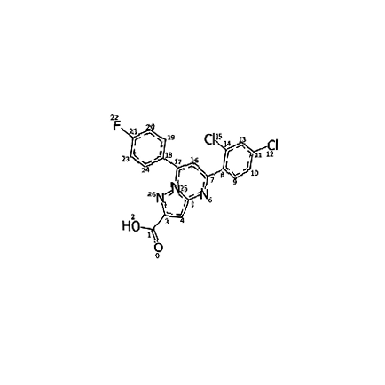 O=C(O)c1cc2nc(-c3ccc(Cl)cc3Cl)cc(-c3ccc(F)cc3)n2n1